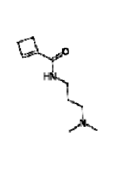 CN(C)CCCNC(=O)C1=CCC1